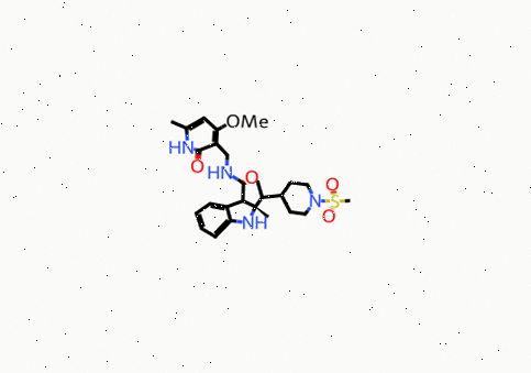 COc1cc(C)[nH]c(=O)c1CNC(=O)C1c2ccccc2N[C@@]1(C)C(C)C1CCN(S(C)(=O)=O)CC1